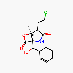 C[C@@]12OC(=O)C1(C(O)C1C=CCCC1)NC(=O)C2CCCl